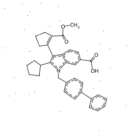 COC(=O)C1=C(c2c(C3CCCC3)n(Cc3ccc(-c4ccccc4)cc3)c3cc(C(=O)O)ccc23)CCC1